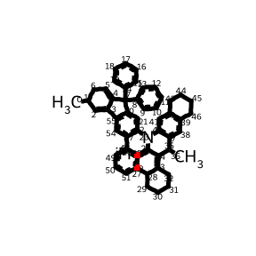 CC1C=C2C(=CC1)C(c1ccccc1)(c1ccccc1)c1cc(N3C4=C(C(C)C)CC5CCCCC5=C4C(C)c4cc5c(cc43)CCCC5)c(-c3ccccc3)cc12